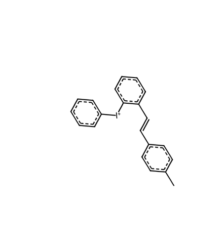 Cc1ccc(C=Cc2ccccc2[I+]c2ccccc2)cc1